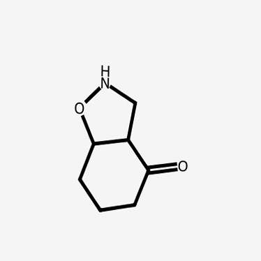 O=C1CCCC2ONCC12